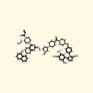 C=CC(=O)N1CCN(c2nc(OC[C@@H]3C[C@H](N4CCC(C(=O)N5CCN(Cc6ccc(-n7c(O)nnc7-c7cc(C(C)C)c(O)cc7O)cc6)CC5)CC4)CN3C)nc3c2CCN(c2cccc4cccc(Cl)c24)C3)C[C@@H]1CC#N